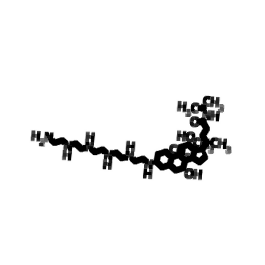 CC(C)NC(=O)CC[C@@H](C)[C@H]1CCC2C3C(C[C@H](O)[C@@]21C)[C@@]1(C)CC[C@H](NCCNCCNCCNCCNCCN)CC1C[C@H]3O